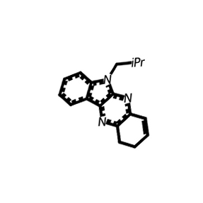 CC(C)Cn1c2ccccc2c2nc3c(nc21)C=CCC3